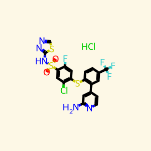 Cl.Nc1cc(-c2cc(C(F)(F)F)ccc2Sc2cc(F)c(S(=O)(=O)Nc3nncs3)cc2Cl)ccn1